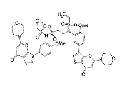 C=CS(=O)(=O)N(CCS(=O)(=O)N(c1cc(-c2csc3c(=O)cc(N4CCOCC4)oc23)ccc1OC)S(=O)(=O)C=C)c1cc(-c2csc3c(=O)cc(N4CCOCC4)oc23)ccc1OC